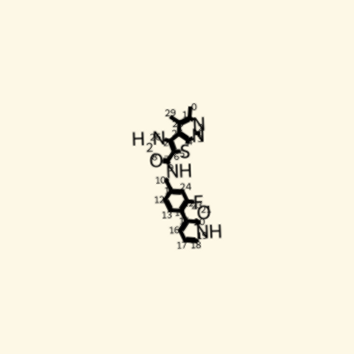 Cc1nnc2sc(C(=O)NCc3ccc(-c4ccc[nH]c4=O)c(F)c3)c(N)c2c1C